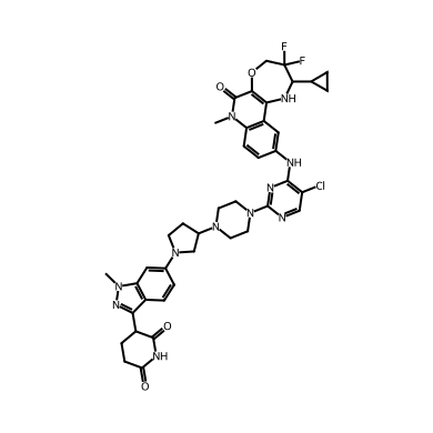 Cn1nc(C2CCC(=O)NC2=O)c2ccc(N3CCC(N4CCN(c5ncc(Cl)c(Nc6ccc7c(c6)c6c(c(=O)n7C)OCC(F)(F)C(C7CC7)N6)n5)CC4)C3)cc21